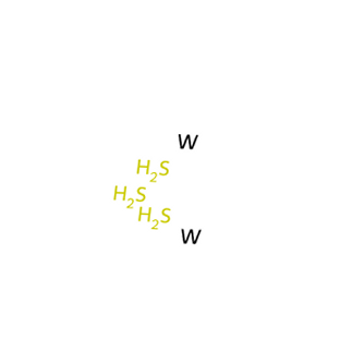 S.S.S.[W].[W]